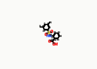 Cc1cc(C)cc(S(=O)(=O)Nc2ccccc2C(=O)O)c1